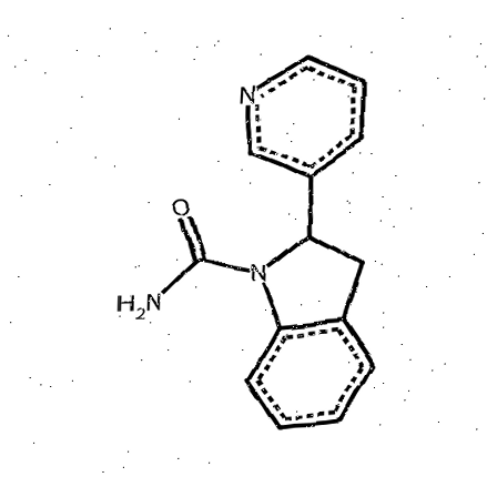 NC(=O)N1c2ccccc2CC1c1cccnc1